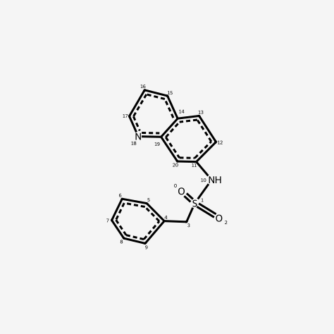 O=S(=O)(Cc1ccccc1)Nc1ccc2cccnc2c1